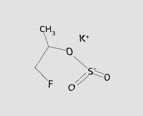 CC(CF)O[S-](=O)=O.[K+]